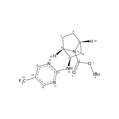 CC(C)(C)OC(=O)N1[C@@H]2CC[C@H]1[C@H](Nc1ncc(C(F)(F)F)cn1)C2